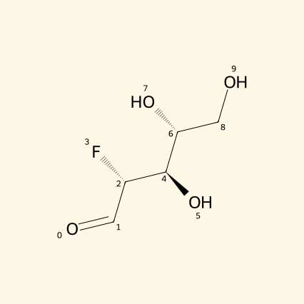 O=C[C@H](F)[C@H](O)[C@H](O)CO